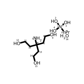 CCC[N+](O)(O)O.NC(CCO)(CCO)CCO.O